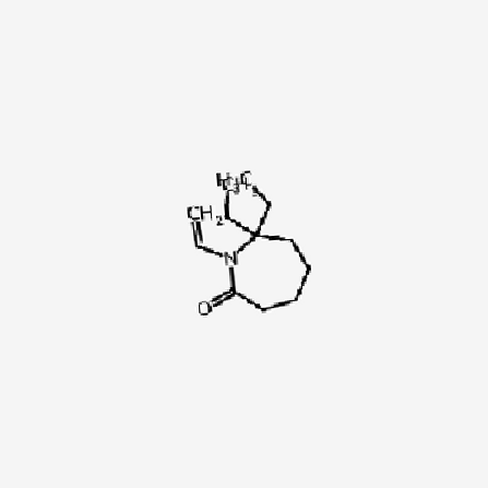 C=CN1C(=O)CCCCC1(CC)CC